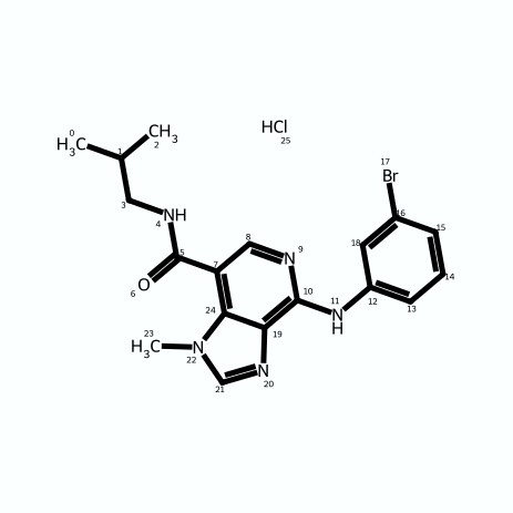 CC(C)CNC(=O)c1cnc(Nc2cccc(Br)c2)c2ncn(C)c12.Cl